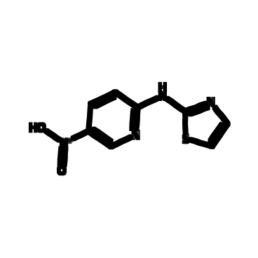 O=[N+](O)c1ccc(Nc2nccs2)nc1